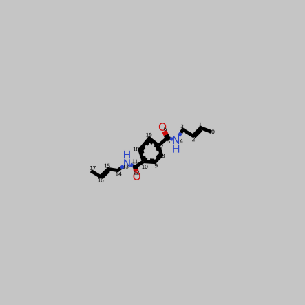 CC=CCNC(=O)c1ccc(C(=O)NCC=CC)cc1